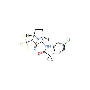 N#CN1[C@@H]2CC[C@H]1C(C(F)(F)F)CC2NC(=O)C1(c2ccc(Cl)cc2)CC1